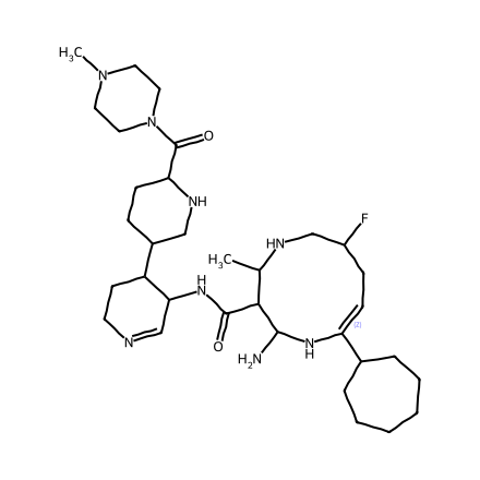 CC1NCC(F)C/C=C(/C2CCCCCC2)NC(N)C1C(=O)NC1C=NCCC1C1CCC(C(=O)N2CCN(C)CC2)NC1